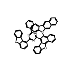 c1ccc(-c2nc(-c3cccc4oc5ccccc5c34)nc(-c3c(-n4c5ccccc5c5cc6ccccc6cc54)c4ccccc4c4oc5ccccc5c34)n2)cc1